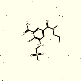 CCCN(C)C(=O)c1cc(NCS(C)(=O)=O)c(F)c(C(=O)O)c1